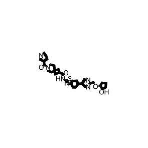 O=C(Nc1nc2ccc(-c3cnc(CO[C@H]4CCC[C@@H]4O)nc3)cc2s1)C1CC2(CCN(C(=O)c3cccnc3)CC2)C1